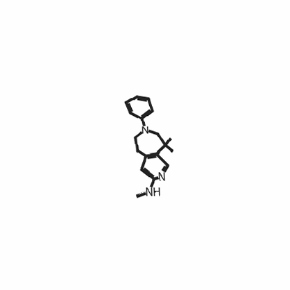 CNc1cc2c(cn1)C(C)(C)CN(c1ccccc1)CC2